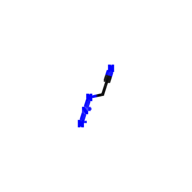 N#CCN=[N+]=[N-]